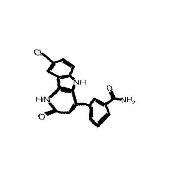 NC(=O)c1cccc(-c2cc(=O)[nH]c3c2[nH]c2ccc(Cl)cc23)c1